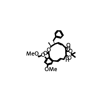 COCOc1cc(OC)cc2c1C(=O)O[C@@H](C)[C@H](Cc1ccccc1)/C=C\C(=O)[C@H]1OC(C)(C)O[C@H]1C/C=C/2